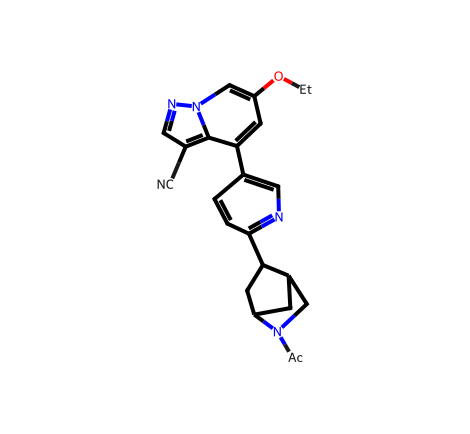 CCOc1cc(-c2ccc(C3CC4CC3CN4C(C)=O)nc2)c2c(C#N)cnn2c1